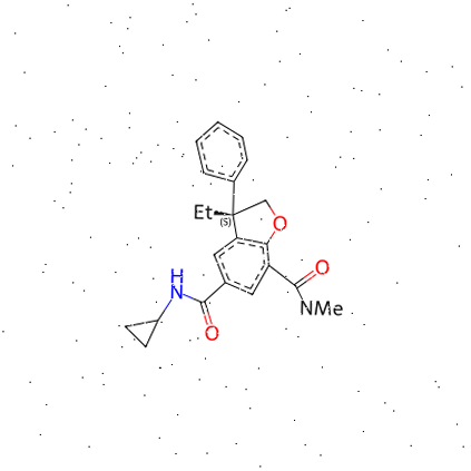 CC[C@@]1(c2ccccc2)COc2c(C(=O)NC)cc(C(=O)NC3CC3)cc21